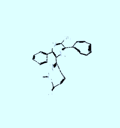 Cn1nc(-c2nc(-c3ccccc3)c(N)nc2-c2ccccc2)ccc1=O